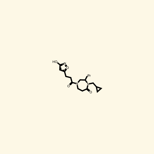 CC(C)C1CN(C(=O)CCc2cc(O)no2)CCC(=O)N1CC1CC1